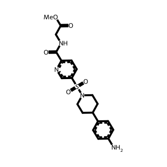 COC(=O)CNC(=O)c1ccc(S(=O)(=O)N2CCC(c3ccc(N)cc3)CC2)cn1